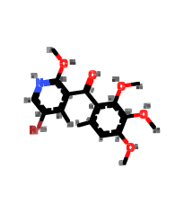 COc1cc(C)c(C(=O)c2c(OC)ncc(Br)c2C)c(OC)c1OC